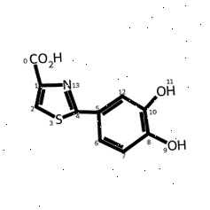 O=C(O)c1csc(-c2ccc(O)c(O)c2)n1